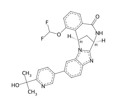 CC(C)(O)c1ccc(-c2ccc3nc4n(c3c2)[C@@H]2C[C@H]4NC(=O)c3cccc(OC(F)F)c32)cn1